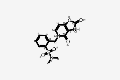 CN(C)S(=O)(=O)c1ccccc1Cn1ccc2oc(=O)[nH]c2c1=O